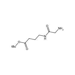 CC(C)(C)OC(=O)CCCNC(=O)CN